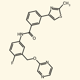 Cc1nc(-c2cccc(C(=O)Nc3ccc(F)c(COc4cnccn4)c3)c2)cs1